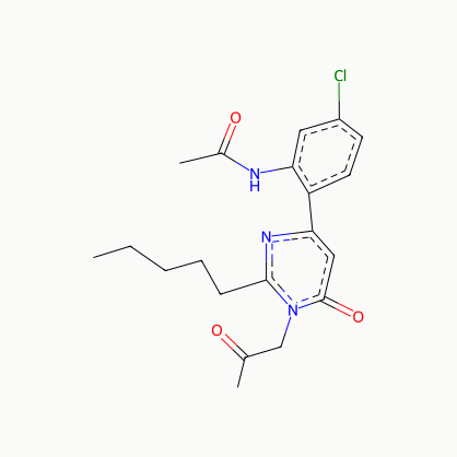 CCCCCc1nc(-c2ccc(Cl)cc2NC(C)=O)cc(=O)n1CC(C)=O